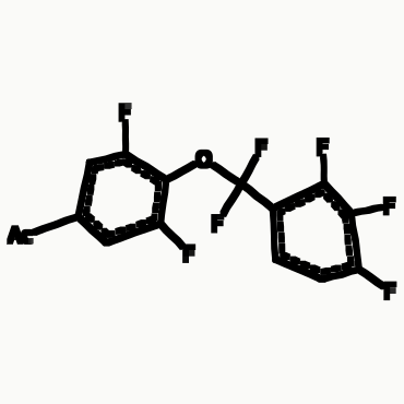 CC(=O)c1cc(F)c(OC(F)(F)c2ccc(F)c(F)c2F)c(F)c1